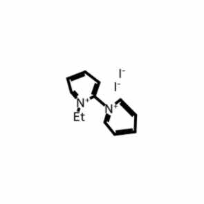 CC[n+]1ccccc1-[n+]1ccccc1.[I-].[I-]